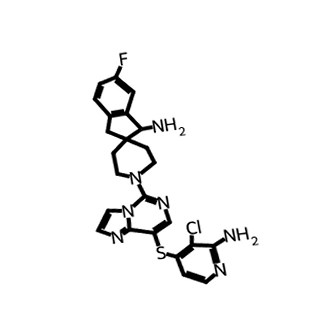 Nc1nccc(Sc2cnc(N3CCC4(CC3)Cc3ccc(F)cc3C4N)n3ccnc23)c1Cl